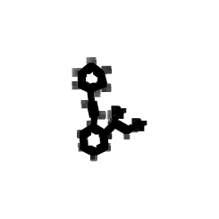 BrC=C(Br)c1ccccc1C#Cc1ccccc1